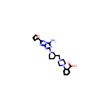 Nc1nc(N2CCCC(CN3CCN(c4ccccc4C(=O)O)CC3)C2)nc2nc(-c3ccco3)nn12